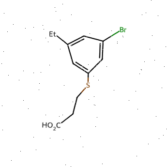 CCc1cc(Br)cc(SCCC(=O)O)c1